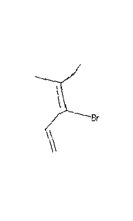 C=CC(Br)=C(C)C